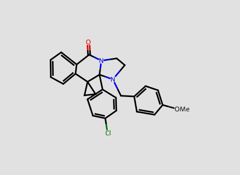 COc1ccc(CN2CCN3C(=O)c4ccccc4C4(CC4)C23c2ccc(Cl)cc2)cc1